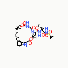 CC[C@@H]1C[C@]1(NC(=O)[C@@H]1C[C@@H]2CN1C(=O)CNC(=O)OCC(C)(C)CCCCc1cccc3c1cc(n3C)C(=O)O2)C(=O)NS(=O)(=O)C1CC1